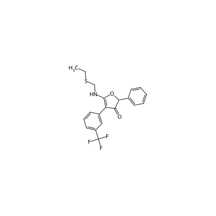 CCSCNC1=C(c2cccc(C(F)(F)F)c2)C(=O)C(c2ccccc2)O1